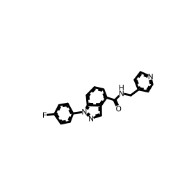 O=C(NCc1ccncc1)c1cccc2c1cnn2-c1ccc(F)cc1